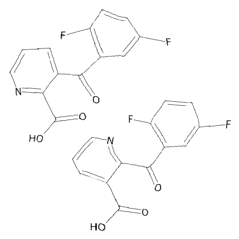 O=C(O)c1cccnc1C(=O)c1cc(F)ccc1F.O=C(c1cc(F)ccc1F)c1cccnc1C(=O)O